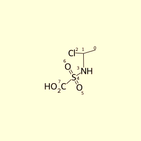 CC(Cl)NS(=O)(=O)C(=O)O